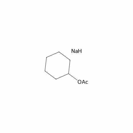 CC(=O)OC1CCCCC1.[NaH]